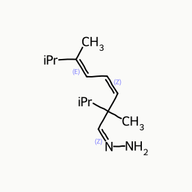 C/C(=C\C=C/C(C)(/C=N\N)C(C)C)C(C)C